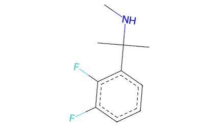 CNC(C)(C)c1cccc(F)c1F